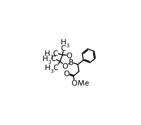 COC(=O)CC(B1OC(C)(C)C(C)(C)O1)c1ccccc1